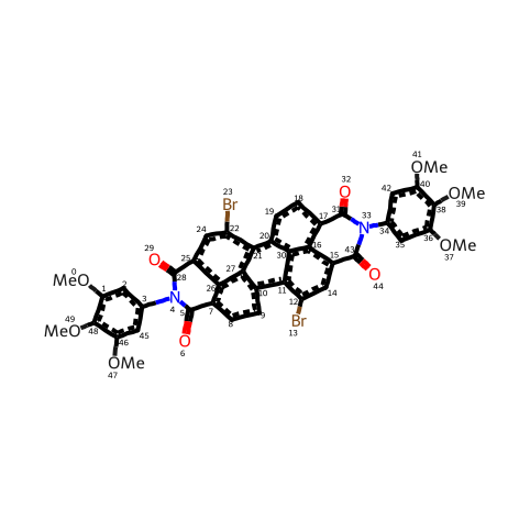 COc1cc(N2C(=O)c3ccc4c5c(Br)cc6c7c(ccc(c8c(Br)cc(c3c48)C2=O)c75)C(=O)N(c2cc(OC)c(OC)c(OC)c2)C6=O)cc(OC)c1OC